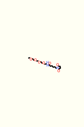 CCOCCOCCOCCOCCNC(=O)CCCCCN1C(=O)C=CC1=O